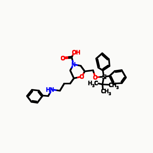 CC(C)(C)[Si](OCC1CN(C(=O)O)CC(CCCNCc2ccccc2)O1)(c1ccccc1)c1ccccc1